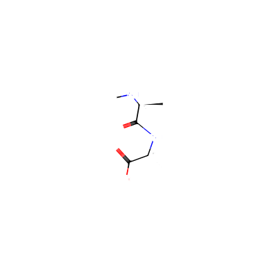 CN[C@@H](C)C(=O)N[C@H](C)C(=O)O